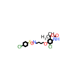 CC1(C)OC(=O)Nc2cc(Cl)c(OCCCC=NOSc3ccc(Cl)cc3)cc21